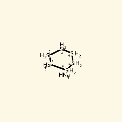 C[SiH]1[SiH2][SiH2][SiH2][SiH2][SiH2]1.[NaH]